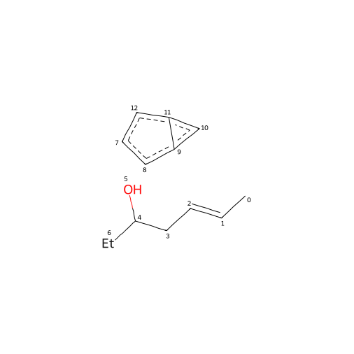 CC=CCC(O)CC.c1cc2cc-2c1